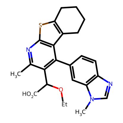 CCOC(C(=O)O)c1c(C)nc2sc3c(c2c1-c1ccc2ncn(C)c2c1)CCCC3